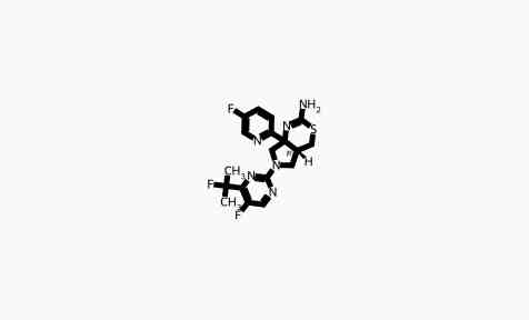 CC(C)(F)c1nc(N2C[C@H]3CSC(N)=NC3(c3ccc(F)cn3)C2)ncc1F